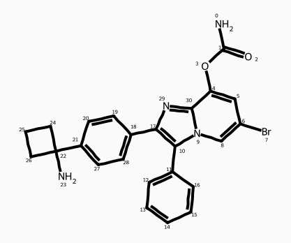 NC(=O)Oc1cc(Br)cn2c(-c3ccccc3)c(-c3ccc(C4(N)CCC4)cc3)nc12